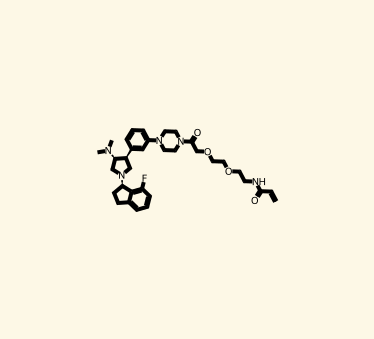 C=CC(=O)NCCOCCOCC(=O)N1CCN(c2cccc([C@H]3CN([C@H]4CCc5cccc(F)c54)C[C@@H]3N(C)C)c2)CC1